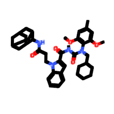 COc1cc(C)cc(OC)c1N(CC1CCCCC1)C(=O)N(C)C(=O)c1cc2ccccc2n1CCC(=O)NC1C2CC3CC(C2)CC1C3